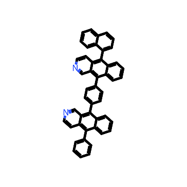 c1ccc(-c2c3ccccc3c(-c3ccc(-c4c5ccccc5c(-c5cccc6ccccc56)c5ccncc45)cc3)c3cnccc23)cc1